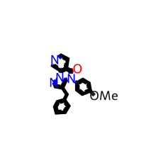 COc1ccc(-n2c(=O)c3ccncc3n3ncc(Cc4ccccc4)c23)cc1